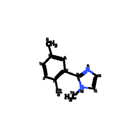 [CH2]Cc1ccc(C)cc1-c1nccn1C